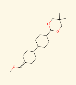 COC=C1CCC(C2CCC(C3OCC(C)(C)CO3)CC2)CC1